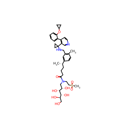 Cc1ccc([C@@H](C)CCCC(=O)N(CCS(C)(=O)=O)C[C@H](O)[C@@H](O)[C@H](O)[C@H](O)CO)cc1CNC1(c2cnccc2-c2ccccc2OC2CC2)CC1